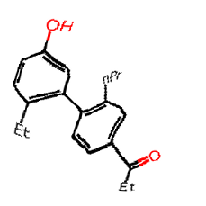 CCCc1cc(C(=O)CC)ccc1-c1cc(O)ccc1CC